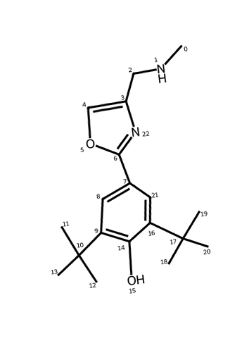 CNCc1coc(-c2cc(C(C)(C)C)c(O)c(C(C)(C)C)c2)n1